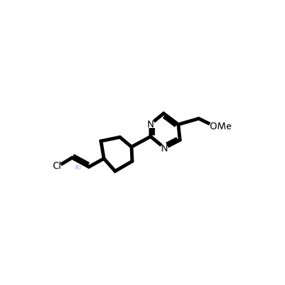 COCc1cnc(C2CCC(/C=C/Cl)CC2)nc1